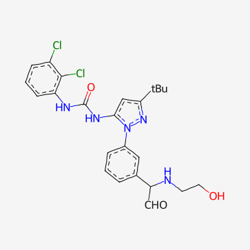 CC(C)(C)c1cc(NC(=O)Nc2cccc(Cl)c2Cl)n(-c2cccc(C(C=O)NCCO)c2)n1